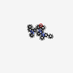 c1ccc(-c2ccc3c(c2)c2ccccc2n3-c2cc(-c3cccc4oc5ccc(-c6ccc7c(c6)c6c8ccccc8ccc6n7-c6ccccc6)cc5c34)nc3ccccc23)cc1